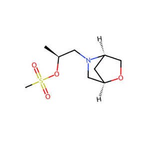 C[C@@H](CN1C[C@H]2C[C@@H]1CO2)OS(C)(=O)=O